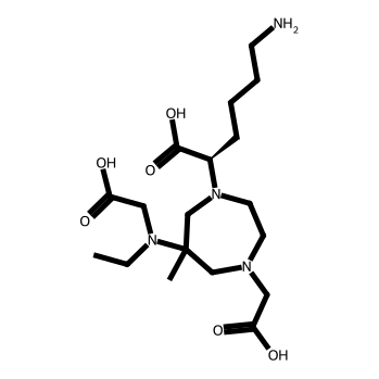 CCN(CC(=O)O)C1(C)CN(CC(=O)O)CCN([C@H](CCCCN)C(=O)O)C1